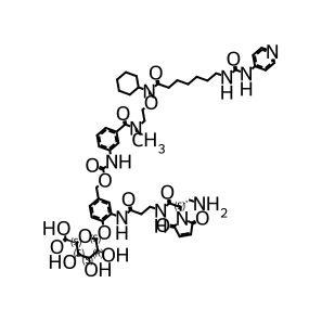 CN(CCON(C(=O)CCCCCCNC(=O)Nc1ccncc1)C1CCCCC1)C(=O)c1cccc(NC(=O)OCc2ccc(O[C@@H]3O[C@H](C(=O)O)[C@@H](O)[C@H](O)[C@H]3O)c(NC(=O)CCNC(=O)[C@H](CN)N3C(=O)C=CC3=O)c2)c1